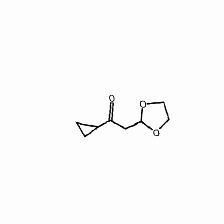 O=C(CC1OCCO1)C1CC1